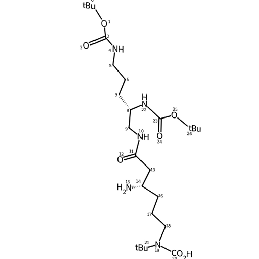 CC(C)(C)OC(=O)NCCC[C@@H](CNC(=O)C[C@@H](N)CCCN(C(=O)O)C(C)(C)C)NC(=O)OC(C)(C)C